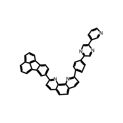 c1cncc(-c2cnc(-c3ccc(-c4ccc5ccc6ccc(-c7ccc8c(c7)-c7cccc9cccc-8c79)nc6c5n4)cc3)cn2)c1